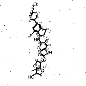 CCOc1ncc(-c2cc(F)c3c(c2)CC[C@@H]3Nc2nc3nc(O[C@@H]4CO[C@H]5[C@@H]4OC[C@H]5O)[nH]c3cc2Cl)cn1